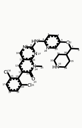 CC(Oc1ccc(Nc2ncc3cc(-c4c(Cl)cccc4Cl)c(=O)n(C)c3n2)nc1)C1CCNCC1